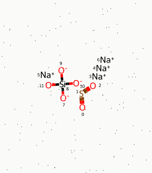 O=S=O.[Na+].[Na+].[Na+].[Na+].[O-][Si]([O-])([O-])[O-]